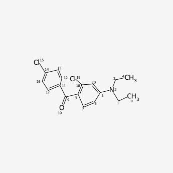 CCN(CC)c1ccc(C(=O)c2ccc(Cl)cc2)c(Cl)c1